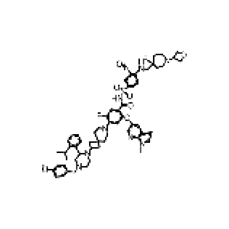 COc1ccc(CN2CCN(C3CC4(CCN(c5cc(Oc6cnc7[nH]ccc7c6)c(C(=O)NS(=O)(=O)c6ccc(NCC7(F)CCN(C8COC8)CC7)c(N=O)c6)cc5F)CC4)C3)C(c3ccccc3C(C)C)C2)cc1